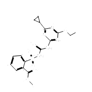 CCOc1nc(NC(=O)NS(=O)(=O)c2ccccc2C(=O)OC)nc(C2CC2)n1